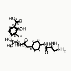 NC[C@H](N)C(=O)NC1CCC(CC(=O)N[C@@H](Cc2cccc(C(=O)O)c2O)B(O)O)CC1